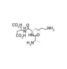 C[C@H](N)C(=O)N[C@@H](CCCCN)C(=O)N[C@@H](CC(=O)O)C(=O)O